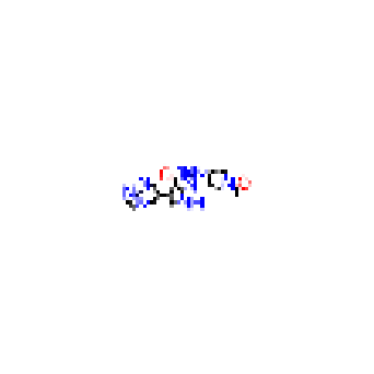 COc1nc(NC2CCN(C(C)=O)CC2)nc2[nH]cc(-c3cnc4nccn4c3)c12